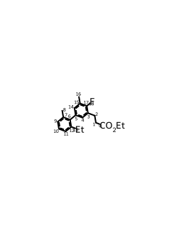 CCOC(=O)CCc1cc(-c2c(C)cccc2CC)cc(C)c1F